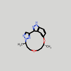 C[C@@H]1CCOCC[C@@H](C)n2ncc(n2)-c2n[nH]c3ccc(cc23)O1